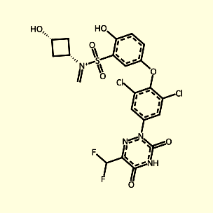 C=[N+]([C@H]1C[C@@H](O)C1)S(=O)(=O)c1cc(Oc2c(Cl)cc(-n3nc(C(F)F)c(=O)[nH]c3=O)cc2Cl)ccc1O